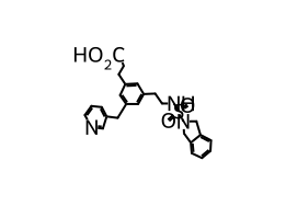 O=C(O)CCc1cc(CCNS(=O)(=O)N2Cc3ccccc3C2)cc(Cc2cccnc2)c1